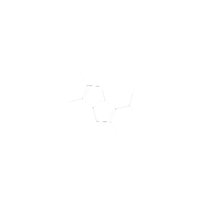 CC1=C(C(C)C)c2sc(C)c(C)c2C1